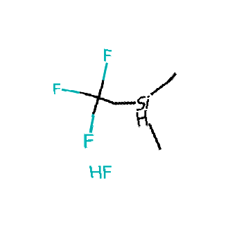 C[SiH](C)C(F)(F)F.F